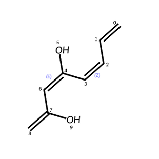 C=C/C=C\C(O)=C/C(=C)O